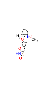 CON=C1CCCCC1(C)COc1ccc(CC2SC(=O)NC2=O)cc1